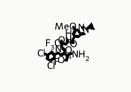 COc1cc(C(=O)NC[C@](O)(c2cc3c(c(-c4cc(Cl)cc(Cl)c4F)n2)OC[C@]3(C)C(N)=O)C(F)(F)F)cc2cn(C3CC3)nc12